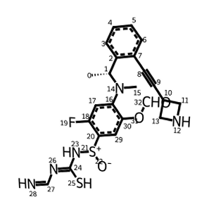 C[C@H](c1ccccc1C#CC1CNC1)N(C)c1cc(F)c([S+]([O-])N/C(S)=N/C=N)cc1OC=O